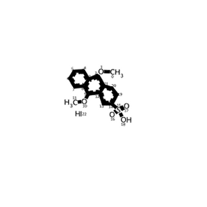 COc1c2ccccc2c(OC)c2cc(S(=O)(=O)O)ccc12.I